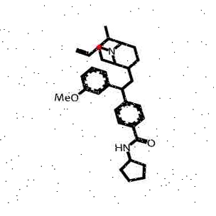 C=CCN1C2CCC(CC(c3ccc(C(=O)NC4CCCC4)cc3)c3cccc(OC)c3)C1CCC2C